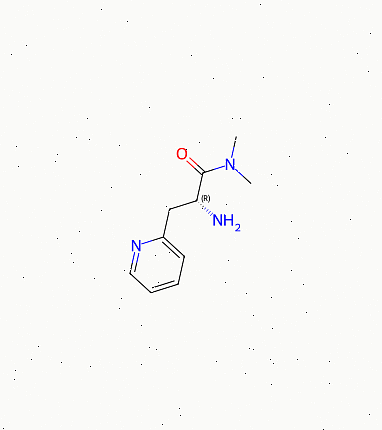 CN(C)C(=O)[C@H](N)Cc1ccccn1